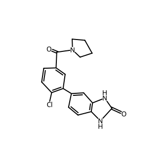 O=C(c1ccc(Cl)c(-c2ccc3[nH]c(=O)[nH]c3c2)c1)N1CCCC1